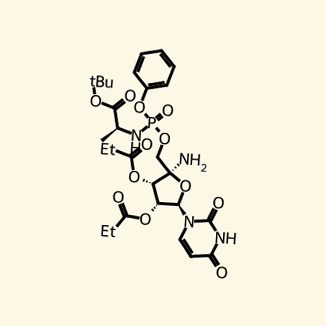 CCC(=O)O[C@H]1[C@H](n2ccc(=O)[nH]c2=O)O[C@](N)(COP(=O)(N[C@@H](C)C(=O)OC(C)(C)C)Oc2ccccc2)[C@H]1OC(=O)CC